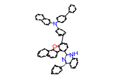 c1ccc(C2=NC(c3ccc(-c4ccc(N(c5ccc(-c6ccccc6)cc5)c5ccc6ccccc6c5)cc4)c4oc5c6ccccc6ccc5c34)Nc3ccccc32)cc1